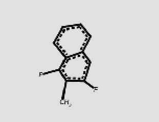 Cc1c(F)cc2ccccc2c1F